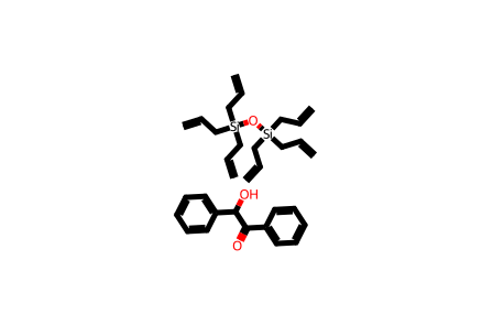 C=CC[Si](CC=C)(CC=C)O[Si](CC=C)(CC=C)CC=C.O=C(c1ccccc1)C(O)c1ccccc1